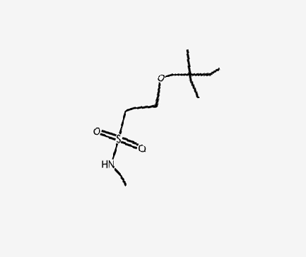 CNS(=O)(=O)CCOC(C)(C)C